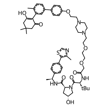 Cc1ccc(-c2ccc(OCCN3CCN(CCOCCOCC(=O)N[C@H](C(=O)N4C[C@H](O)C[C@H]4C(=O)N[C@@H](C)c4ccc(-c5scnc5C)cc4)C(C)(C)C)CC3)cc2)cc1C1=C(O)CC(C)(C)CC1=O